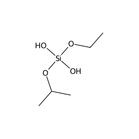 CCO[Si](O)(O)OC(C)C